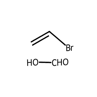 C=CBr.O=CO